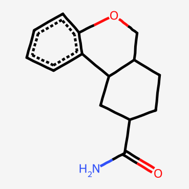 NC(=O)C1CCC2COc3ccccc3C2C1